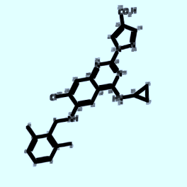 Cc1cccc(C)c1CNc1cc2c(NC3CC3)nc(-n3cc(C(=O)O)cn3)nc2cc1Cl